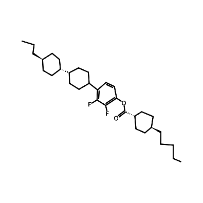 CCCCC[C@H]1CC[C@H](C(=O)Oc2ccc(C3CCC([C@H]4CC[C@H](CCC)CC4)CC3)c(F)c2F)CC1